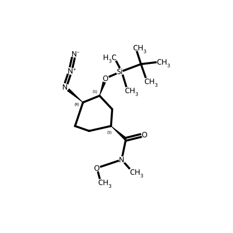 CON(C)C(=O)[C@H]1CC[C@@H](N=[N+]=[N-])[C@@H](O[Si](C)(C)C(C)(C)C)C1